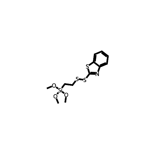 CO[Si](CCSSc1nc2ccccc2s1)(OC)OC